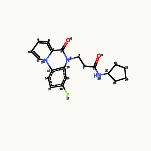 O=C(CCN1C(=O)C2=C=CC=CN2c2ccc(F)cc21)NC1CCCC1